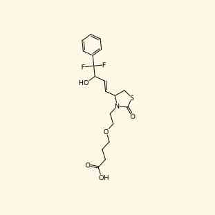 O=C(O)CCCOCCN1C(=O)SCC1C=CC(O)C(F)(F)c1ccccc1